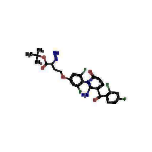 CC(C)(C)OC(=O)C(CCOc1cc(F)c(-n2c(N)c(C(=O)c3ccc(F)cc3F)ccc2=O)c(F)c1)N=N